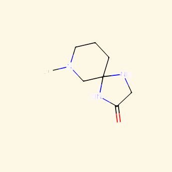 CC(C)(C)N1CCCC2(C1)NCC(=O)N2